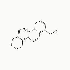 [O]Cc1cccc2c1ccc1c3c(ccc12)CCCC3